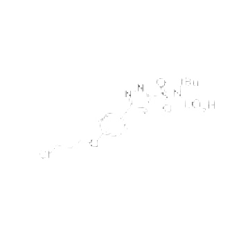 CC(C)(C)N(C(=O)O)S(=O)(=O)c1nnc(-c2ccc(OCCCCl)cc2)s1